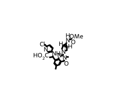 COC(=O)NC1[C@H]2CN(c3nc4c(C(C)Nc5ccc(Cl)nc5C(=O)O)cc(C)cc4c(=O)n3C)C[C@@H]12